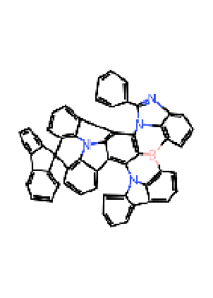 c1ccc(-c2nc3cccc4c3n2-c2c3c(c5c6cccc7c6n6c8c(cccc8c2c56)C72c5ccccc5-c5ccccc52)-n2c5ccccc5c5cccc(c52)B34)cc1